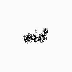 CO[C@@]1(NC(=O)Cn2cnnn2)C(=O)N2C(C(=O)O)=C(C(CS(=O)(=O)O)Sc3nnn[nH]3)CS[C@H]21